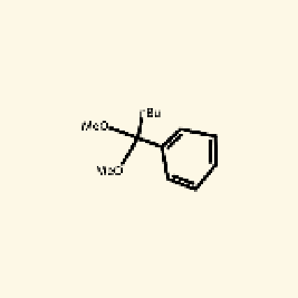 CCCCC(OC)(OC)c1ccccc1